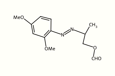 COc1ccc(/N=N/C(C)COC=O)c(OC)c1